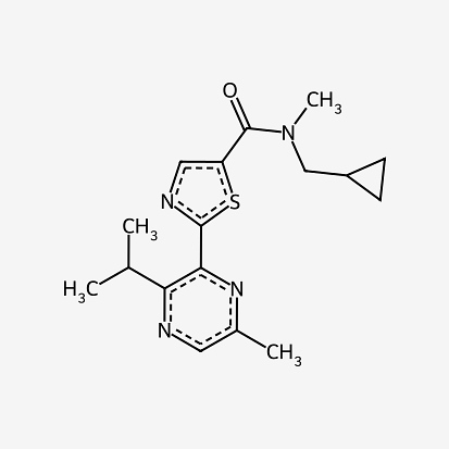 Cc1cnc(C(C)C)c(-c2ncc(C(=O)N(C)CC3CC3)s2)n1